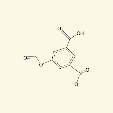 O=COc1cc(C(=O)O)cc([N+](=O)[O-])c1